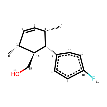 C[C@@H]1C=C[C@H](C)[C@H](c2ccc(F)cc2)[C@H]1CO